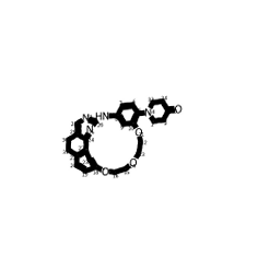 O=C1CCN(c2ccc3cc2OCCOCCOc2ccc4c(c2)-c2nc(ncc2CC4)N3)CC1